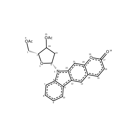 CC(=O)OC[C@H]1O[C@@H](n2c3ccccc3c3cc4ccc(=O)oc4cc32)CC1OC(C)=O